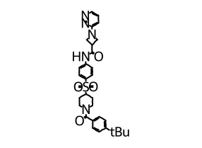 CC(C)(C)c1ccc(C(=O)N2CCC(S(=O)(=O)c3ccc(NC(=O)C4CN(c5cccnn5)C4)cc3)CC2)cc1